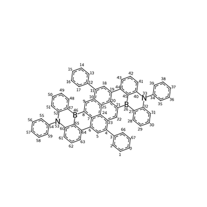 c1ccc(-c2cc3c4c(cc5c(-c6ccccc6)cc6c7c(cc2c4c57)B2c4ccccc4N(c4ccccc4)c4cccc-6c42)B2c4ccccc4N(c4ccccc4)c4cccc-3c42)cc1